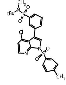 Cc1ccc(S(=O)(=O)n2cc(-c3cccc(S(=O)(=O)N(C)C(C)(C)C)c3)c3c(Cl)ccnc32)cc1